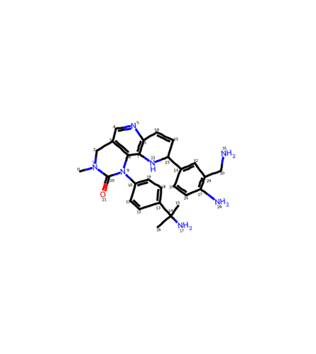 CN1Cc2cnc3c(c2N(c2ccc(C(C)(C)N)cc2)C1=O)NC(c1ccc(N)c(CN)c1)C=C3